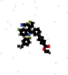 COC(=O)C1CC2(C1)CC(c1cccc(-c3c(-c4ccsc4C#N)c4cc(F)ccc4n3Sc3ccc(C)cc3)c1)C2